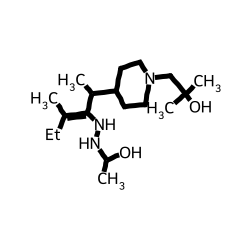 CC/C(C)=C(\NNC(C)O)C(C)C1CCN(CC(C)(C)O)CC1